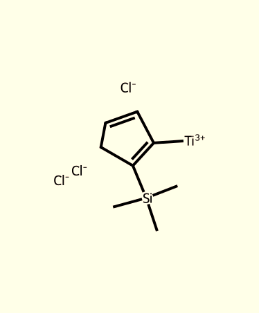 C[Si](C)(C)C1=[C]([Ti+3])C=CC1.[Cl-].[Cl-].[Cl-]